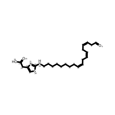 O=CC/C=C\C/C=C\C/C=C\CCCCCCCCNc1nc(CC(=O)O)cs1